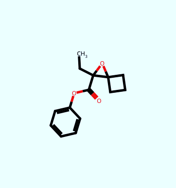 CCC1(C(=O)Oc2ccccc2)OC12CCC2